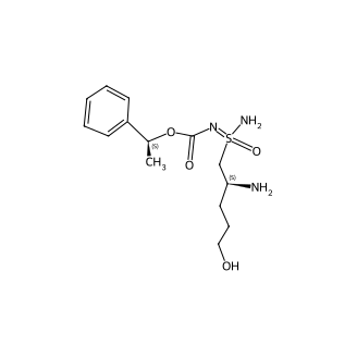 C[C@H](OC(=O)N=S(N)(=O)C[C@@H](N)CCCO)c1ccccc1